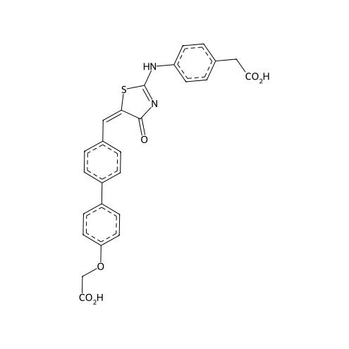 O=C(O)COc1ccc(-c2ccc(C=C3SC(Nc4ccc(CC(=O)O)cc4)=NC3=O)cc2)cc1